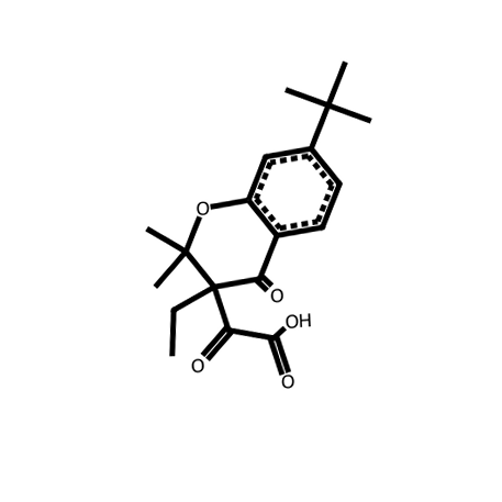 CCC1(C(=O)C(=O)O)C(=O)c2ccc(C(C)(C)C)cc2OC1(C)C